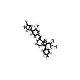 COc1cc(C=C2CCCn3c2nc(C(=O)O)c3-c2ccc(F)cc2)ccc1-n1cnc(C)c1